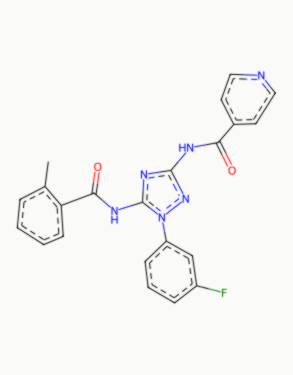 Cc1ccccc1C(=O)Nc1nc(NC(=O)c2ccncc2)nn1-c1cccc(F)c1